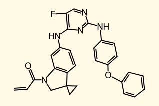 C=CC(=O)N1CC2(CC2)c2ccc(Nc3nc(Nc4ccc(Oc5ccccc5)cc4)ncc3F)cc21